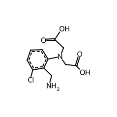 NCc1c(Cl)cccc1N(CC(=O)O)CC(=O)O